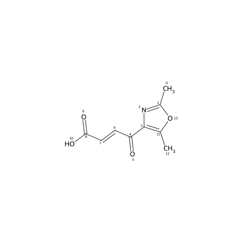 Cc1nc(C(=O)C=CC(=O)O)c(C)o1